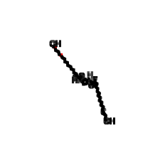 O=C(N[C@@H]1CC[C@H](NC(=O)/C(F)=C\CCCCCCCCCCCCCCCO)C1)/C(F)=C/CCCCCCCCCCCCCCCO